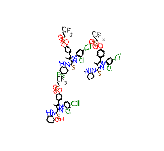 Cc1c(C(=S)NC2CCC(F)(F)CC2)nn(-c2ccc(Cl)cc2Cl)c1-c1ccc(OS(=O)(=O)CCC(F)(F)F)cc1.Cc1c(C(=S)NC2CCCCC2N(C)C)nn(-c2ccc(Cl)cc2Cl)c1-c1ccc(OS(=O)(=O)CCC(F)(F)F)cc1.Cc1c(C(=S)NC2CCCCC2O)nn(-c2ccc(Cl)cc2Cl)c1-c1ccc(OS(=O)(=O)CCC(F)(F)F)cc1